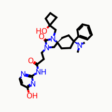 CN(C)[C@]1(c2ccccc2)CC[C@@]2(CC1)CN(CCC(=O)Nc1nccc(O)n1)C(=O)N2CC1(O)CCC1